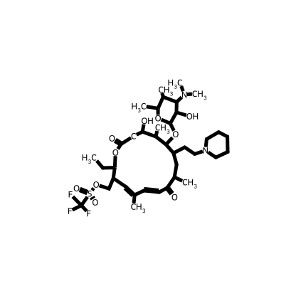 CCC1OC(=O)CC(O)C(C)C(OC2OC(C)C(C)C(N(C)C)C2O)C(CCN2CCCCC2)CC(C)C(=O)/C=C/C(C)=C/C1COS(=O)(=O)C(F)(F)F